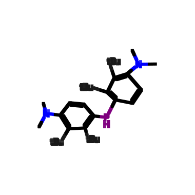 CN(C)c1ccc(Pc2ccc(N(C)C)c(C(C)(C)C)c2C(C)(C)C)c(C(C)(C)C)c1C(C)(C)C